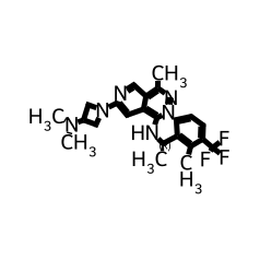 Cc1c([C@@H](C)Nc2nnc(C)c3cnc(N4CC(N(C)C)C4)cc23)cccc1C(F)(F)F